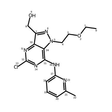 CCOCCn1nc(CO)c2nc(Cl)nc(Nc3cccc(C)n3)c21